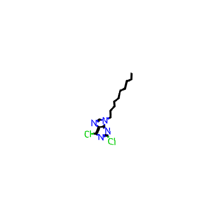 CCCCCCCCCCn1cnc2c(Cl)nc(Cl)nc21